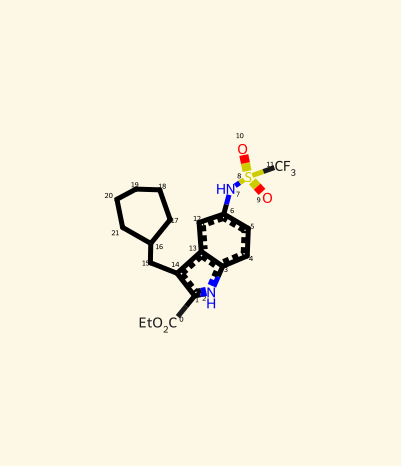 CCOC(=O)c1[nH]c2ccc(NS(=O)(=O)C(F)(F)F)cc2c1CC1CCCCC1